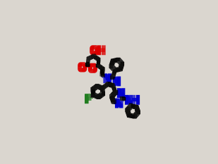 O=C1CC(O)CC(/C=C/n2c(-c3ccccc3)nc(-c3ccnc(Nc4ccccc4)n3)c2-c2ccc(F)cc2)O1